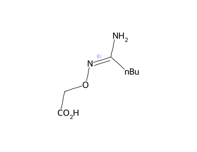 CCCC/C(N)=N\OCC(=O)O